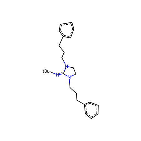 CC(C)(C)N=C1N(CCCc2ccccc2)CCN1CCCc1ccccc1